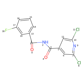 O=C(NC(=O)c1cc(Cl)nc(Cl)c1)c1cccc(F)c1